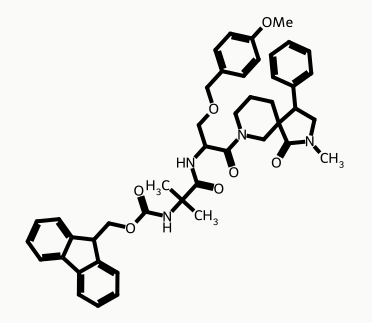 COc1ccc(COCC(NC(=O)C(C)(C)NC(=O)OCC2c3ccccc3-c3ccccc32)C(=O)N2CCCC3(C2)C(=O)N(C)CC3c2ccccc2)cc1